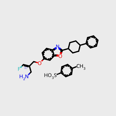 Cc1ccc(S(=O)(=O)O)cc1.NC/C(=C\F)COc1ccc2nc(C3CCC(c4ccccc4)CC3)oc2c1